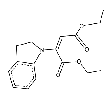 CCOC(=O)C=C(C(=O)OCC)N1CCc2ccccc21